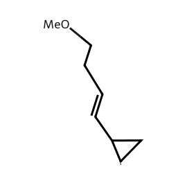 COCCC=CC1[CH]C1